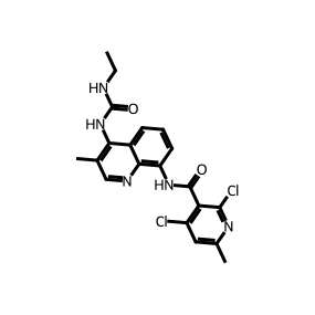 CCNC(=O)Nc1c(C)cnc2c(NC(=O)c3c(Cl)cc(C)nc3Cl)cccc12